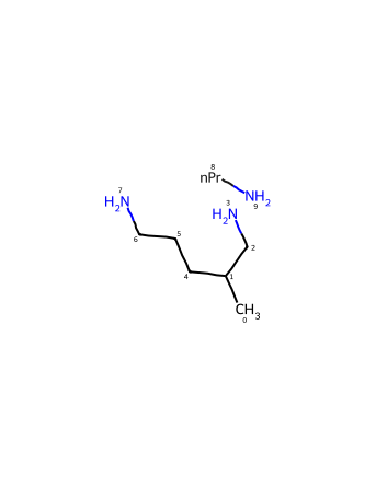 CC(CN)CCCN.CCCN